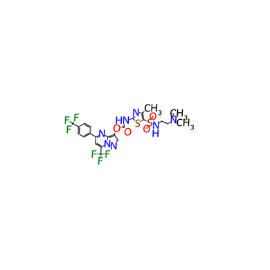 Cc1nc(NC(=O)Oc2cnn3c(C(F)(F)F)cc(-c4ccc(C(F)(F)F)cc4)nc23)sc1S(=O)(=O)NCCN(C)C